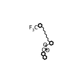 O=C(Oc1ccc2ccccc2c1)[C@@H]1O[C@H]1c1ccccc1CCCCCCCCc1cccc(C(F)(F)F)c1